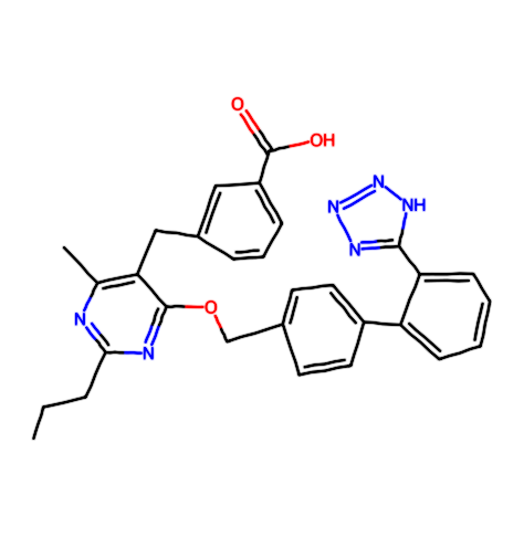 CCCc1nc(C)c(Cc2cccc(C(=O)O)c2)c(OCc2ccc(-c3ccccc3-c3nnn[nH]3)cc2)n1